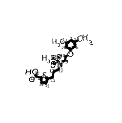 Cc1cc(C)cc(OCCN(CCCc2ccc(C(=O)O)s2)S(C)(=O)=O)c1